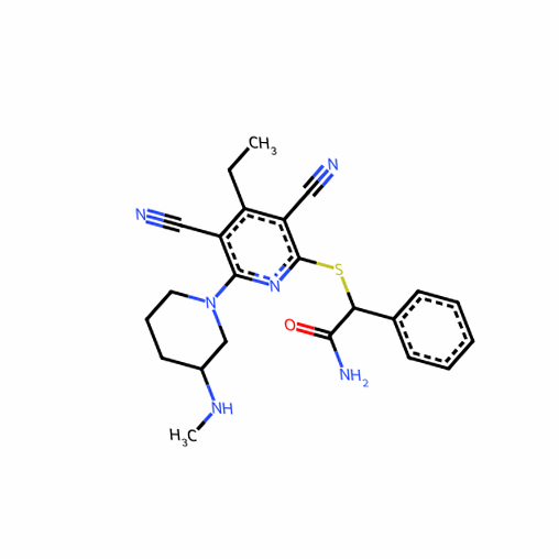 CCc1c(C#N)c(SC(C(N)=O)c2ccccc2)nc(N2CCCC(NC)C2)c1C#N